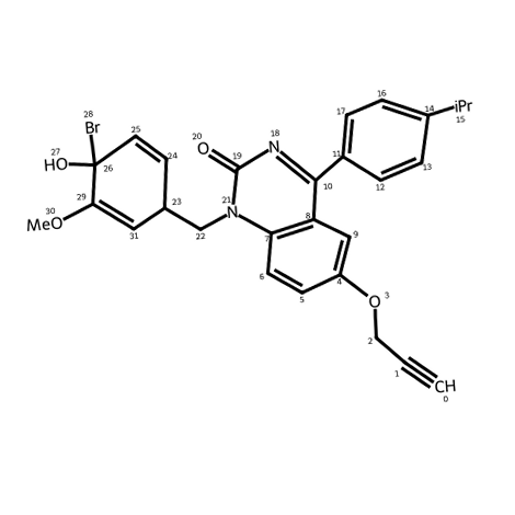 C#CCOc1ccc2c(c1)c(-c1ccc(C(C)C)cc1)nc(=O)n2CC1C=CC(O)(Br)C(OC)=C1